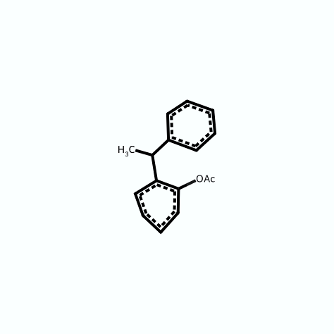 CC(=O)Oc1ccccc1C(C)c1ccccc1